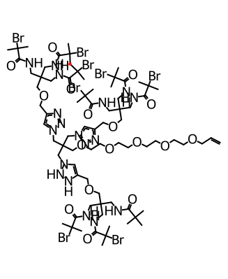 C=CCOCCOCCOCCOCCOCC(CN1C=C(COCC(CNC(=O)C(C)(C)C)(CNC(=O)C(C)(C)Br)CNC(=O)C(C)(C)Br)NN1)(Cn1cc(COCC(CNC(=O)C(C)(C)Br)(CNC(=O)C(C)(C)Br)CNC(=O)C(C)(C)Br)nn1)Cn1cc(COCC(CNC(=O)C(C)(C)Br)(CNC(=O)C(C)(C)Br)CNC(=O)C(C)(C)Br)nn1